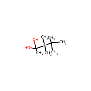 CC(C)(C)[Si](C)(C)C(C)(O)O